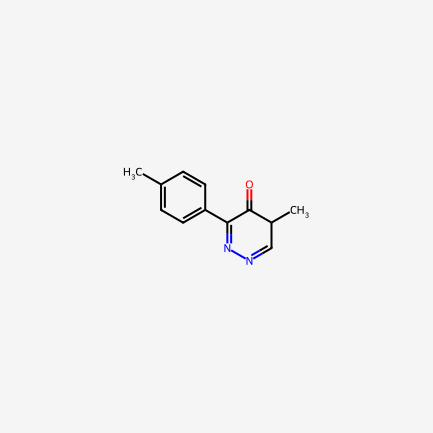 Cc1ccc(C2=NN=CC(C)C2=O)cc1